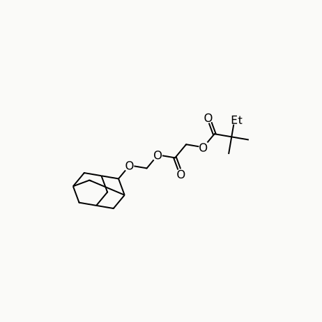 CCC(C)(C)C(=O)OCC(=O)OCOC1C2CC3CC(C2)CC1C3